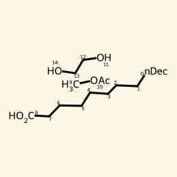 CCCCCCCCCCCCCCCCCC(=O)O.COC(C)=O.OCCO